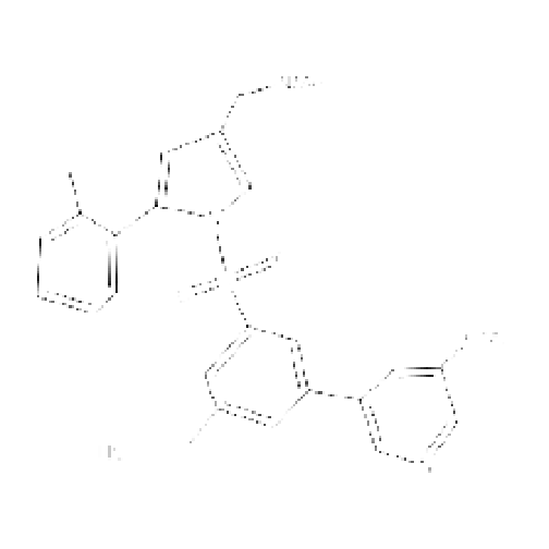 CNCc1cc(-c2ccccc2F)n(S(=O)(=O)c2cc(F)cc(-c3cncc(OC)c3)c2)c1.Cl